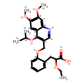 CCOC(Cc1ccccc1OCc1cnc2cc(OC)c(OC)cc2c1OC(C)C)C(=O)O